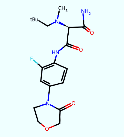 CN(CC(C)(C)C)[C@@H](C(N)=O)C(=O)Nc1ccc(N2CCOCC2=O)cc1F